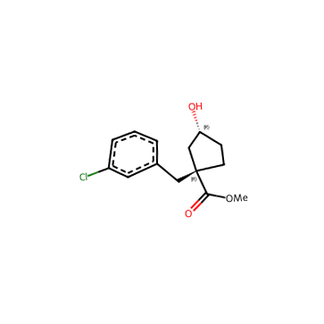 COC(=O)[C@@]1(Cc2cccc(Cl)c2)CC[C@@H](O)C1